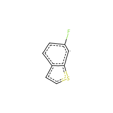 Fc1[c]c2sccc2cc1